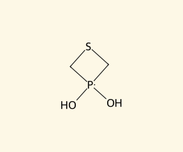 O[P]1(O)CSC1